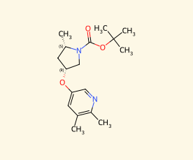 Cc1cc(O[C@@H]2C[C@H](C)N(C(=O)OC(C)(C)C)C2)cnc1C